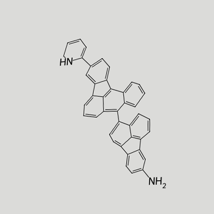 Nc1ccc2c(c1)-c1cccc3c(-c4c5ccccc5c5c6c(cccc46)-c4cc(C6=CC=CCN6)ccc4-5)ccc-2c13